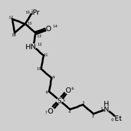 CCNCCCS(=O)(=O)CCCCNC(=O)C1(C(C)C)CC1